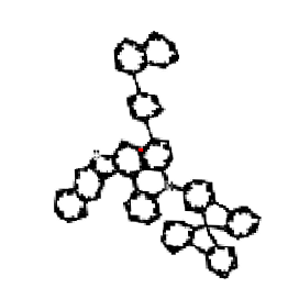 c1ccc(N(c2ccc(-c3ccc(-c4cccc5ccccc45)cc3)cc2)c2ccc3c(c2)C2(c4ccccc4-c4ccccc42)c2ccccc2-3)c(-c2cccc3oc4cc5ccccc5cc4c23)c1